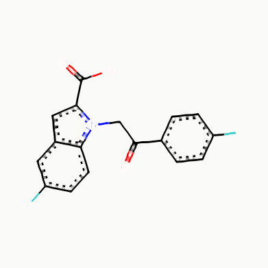 O=C(Cn1c(C(=O)O)cc2cc(F)ccc21)c1ccc(F)cc1